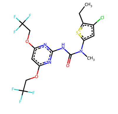 CCc1sc(N(C)C(=O)Nc2nc(OCC(F)(F)F)cc(OCC(F)(F)F)n2)cc1Cl